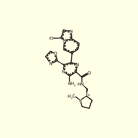 CN1CCC[C@@H]1CNC(=O)c1nc(-c2ccc3ncc(Cl)n3c2)c(-c2ncco2)nc1N